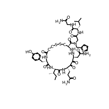 CC[C@H](C)[C@@H]1NC(=O)[C@H](Cc2ccc(O)cc2)NC(=O)CCSSC[C@@H](C(=O)N(CC(=O)N[C@@H](CC(C)C)C(=O)NCC(N)=O)Cc2cccs2)NN[C@@H](CC(N)=O)C(=O)C(=O)[C@H](CCC(N)=O)NC1=O